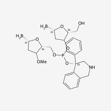 B[C@H]1CC(OC)[C@@H](COP(OC2C[C@H](B)O[C@@H]2CO)O[C@]2(c3ccccc3)CNCc3ccccc32)O1